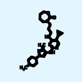 Cc1nn(C2CCN(C)CC2)cc1Nc1ncc(C2CC2)c(NCCCN2CCCCOC2=O)n1